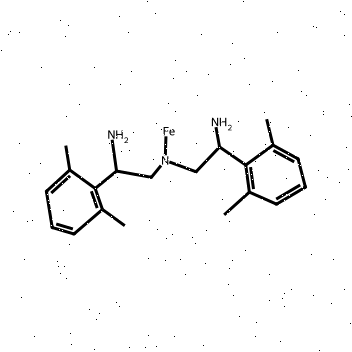 Cc1cccc(C)c1C(N)C[N]([Fe])CC(N)c1c(C)cccc1C